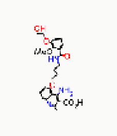 COc1c(OCCO)cccc1C(=O)NCCCCOc1cccc2nc(C)c(C(=O)O)c(N)c12